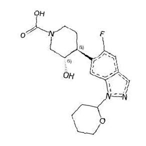 O=C(O)N1CC[C@@H](c2cc3c(cnn3C3CCCCO3)cc2F)[C@H](O)C1